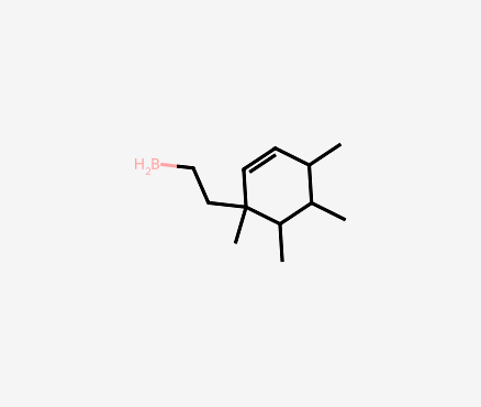 BCCC1(C)C=CC(C)C(C)C1C